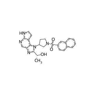 C[C@@H](O)c1nc2cnc3[nH]ccc3c2n1C1CCN(S(=O)(=O)c2ccc3ccccc3c2)C1